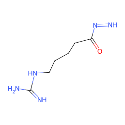 N=NC(=O)CCCCNC(=N)N